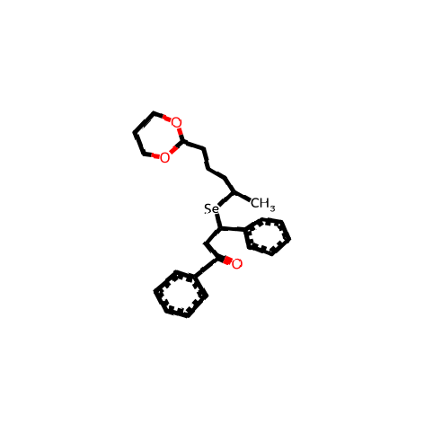 CC(CCCC1OCCCO1)[Se]C(CC(=O)c1ccccc1)c1ccccc1